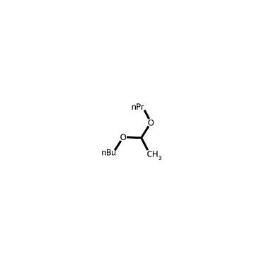 [CH2]CCOC(C)OCCCC